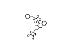 C[C@@H]1C(CCc2n[nH]c(=O)o2)=Cc2ccccc2N1S(=O)(=O)C(=O)OCc1ccccc1